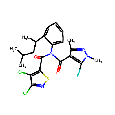 Cc1nn(C)c(F)c1C(=O)N(C(=O)c1snc(Cl)c1Cl)c1ccccc1C(C)CC(C)C